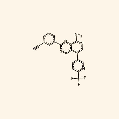 C#Cc1cccc(-c2ncc3c(-c4ccc(C(F)(F)F)nc4)cnc(N)c3n2)c1